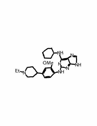 CCN1CCC(c2ccc(Nc3nc(NC4CCCCC4)c4nc[nH]c4n3)c(OC)c2)CC1